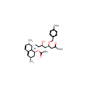 CCC(C)C(=O)O[C@H]1C[C@@H](C)C=C2C=C[C@H](C)[C@H](CC[C@@H](O)C[C@H](CC(=O)NC)OCc3ccc(OC)cc3)[C@H]21